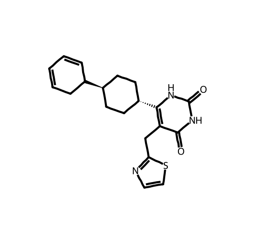 O=c1[nH]c(=O)c(Cc2nccs2)c([C@H]2CC[C@H](C3C=CC=CC3)CC2)[nH]1